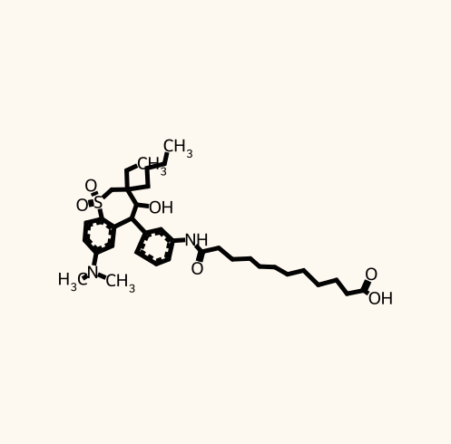 CCCCC1(CC)CS(=O)(=O)c2ccc(N(C)C)cc2C(c2cccc(NC(=O)CCCCCCCCCCC(=O)O)c2)C1O